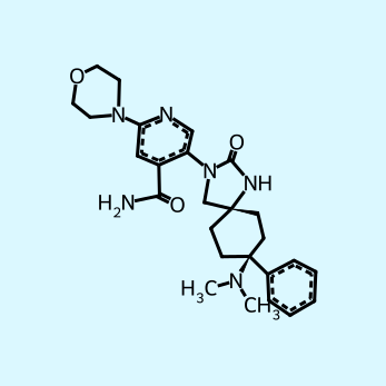 CN(C)[C@]1(c2ccccc2)CC[C@@]2(CC1)CN(c1cnc(N3CCOCC3)cc1C(N)=O)C(=O)N2